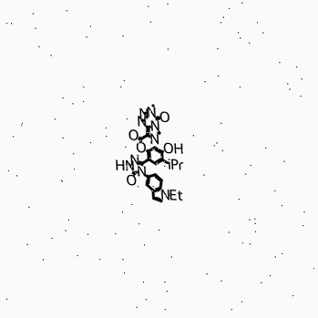 CCn1ccc2cc(-n3c(-c4cc(C(C)C)c(O)cc4OC(=O)c4ncn5c(=O)n(C)nnc45)n[nH]c3=O)ccc21